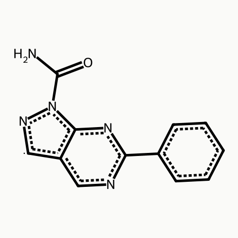 NC(=O)n1n[c]c2cnc(-c3ccccc3)nc21